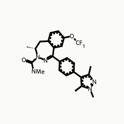 CNC(=O)N1N=C(c2ccc(-c3c(C)nn(C)c3C)cc2)c2cc(OC(F)(F)F)ccc2C[C@H]1C